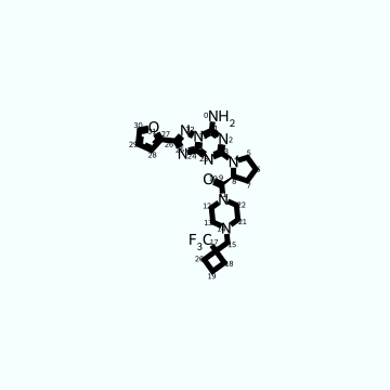 Nc1nc(N2CCC[C@H]2C(=O)N2CCN(CC3(C(F)(F)F)CCC3)CC2)nc2nc(-c3ccco3)nn12